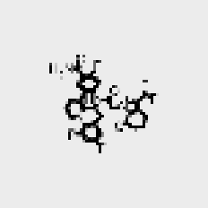 NC(=O)c1cc(-c2cccnc2C(Cc2cc(F)cc(F)c2)NC(=O)Cn2nc(C(F)F)c3c2C(=O)CCC3)ccc1F